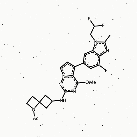 COc1nc(NC2CC3(CCN3C(C)=O)C2)nn2ccc(-c3cc(F)c4nc(C)n(CC(F)F)c4c3)c12